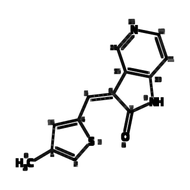 Cc1csc(C=C2C(=O)Nc3ccncc32)c1